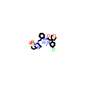 N[C@H](C(=O)Nc1ccccc1CC[C@H]1C2CN2C2CCCS(=O)(=O)N1C2)C1(c2ccc(Cl)cc2)CCOCC1